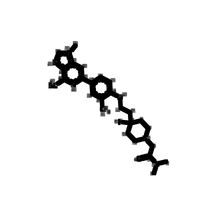 CN(C)C(=O)CN1CCC(F)(CCOc2ccc(-c3cc4c(ncn4C)c(C#N)n3)cc2C(F)(F)F)CC1